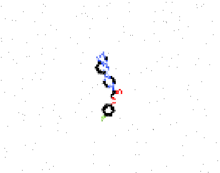 O=C(COc1ccc(F)cc1)N1CCN(c2ccc3nncn3n2)CC1